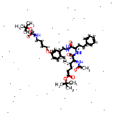 CC(=O)NC(CCCC(=O)OC(C)(C)C)C(=O)NC(CCc1ccccc1)C(=O)NCc1cc(OCCCCNC(=O)OC(C)(C)C)ccc1C